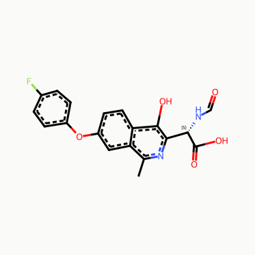 Cc1nc([C@H](NC=O)C(=O)O)c(O)c2ccc(Oc3ccc(F)cc3)cc12